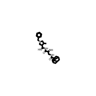 CC1CN(Cc2ccccc2)CC1C(=N)NC(=O)C(=N)CNC(=O)C12CC3CC(CC(C3)C1)C2